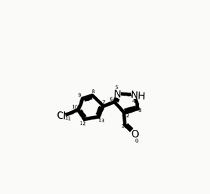 O=Cc1c[nH]nc1-c1ccc(Cl)cc1